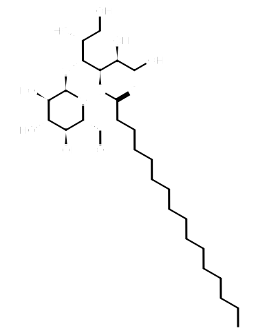 CCCCCCCCCCCCCCCC(=O)O[C@@H]([C@H](O[C@H]1O[C@H](CO)[C@@H](O)[C@H](O)[C@H]1O)[C@H](O)CO)[C@@H](O)CO